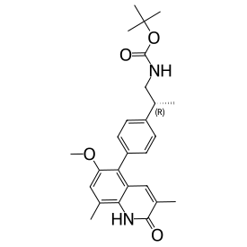 COc1cc(C)c2[nH]c(=O)c(C)cc2c1-c1ccc([C@@H](C)CNC(=O)OC(C)(C)C)cc1